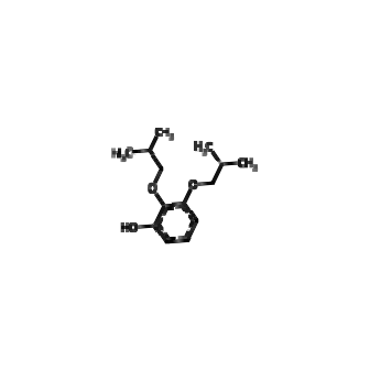 CC(C)COc1cccc(O)c1OCC(C)C